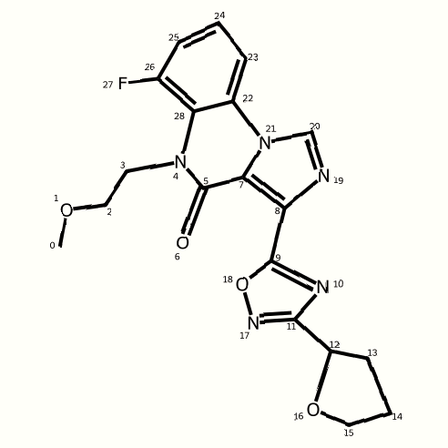 COCCn1c(=O)c2c(-c3nc(C4CCCO4)no3)ncn2c2cccc(F)c21